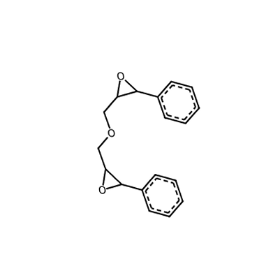 c1ccc(C2OC2COCC2OC2c2ccccc2)cc1